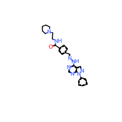 O=C(NCCN1CCCCC1)c1ccc(/C=N/Nc2ncnc3c2cnn3-c2ccccc2)cc1